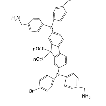 CCCCCCCCC1(CCCCCCCC)c2cc(N(c3ccc(Br)cc3)c3ccc(CN)cc3)ccc2-c2ccc(N(c3ccc(Br)cc3)c3ccc(CN)cc3)cc21